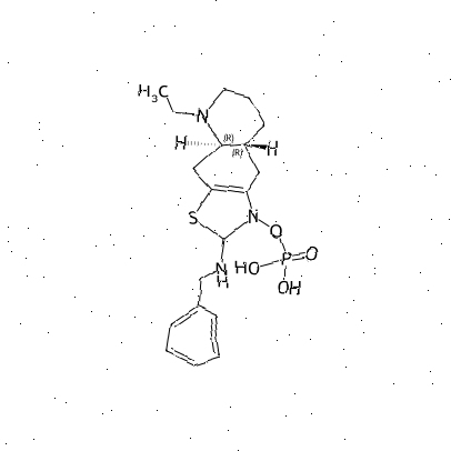 CCN1CCC[C@@H]2CC3=C(C[C@H]21)SC(NCc1ccccc1)N3OP(=O)(O)O